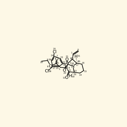 C=C[C@@H]1CN(CC(=O)OCC)C(=O)[C@@H]2CCC[C@H]1N2S(=O)(=O)c1cc(Cl)cc(Cl)c1